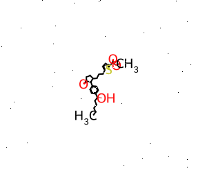 CCCCC[C@H](O)c1ccc(C2C(=O)CCC2CCCc2ccc(C(=O)OC)s2)cc1